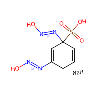 O=S(=O)(O)C1(/N=N/O)C=CCC(/N=N/O)=C1.[NaH]